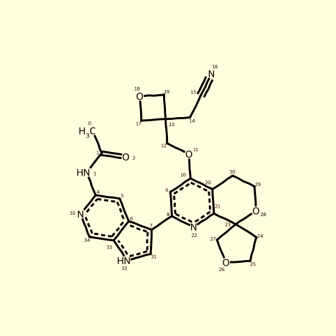 CC(=O)Nc1cc2c(-c3cc(OCC4(CC#N)COC4)c4c(n3)C3(CCOC3)OCC4)c[nH]c2cn1